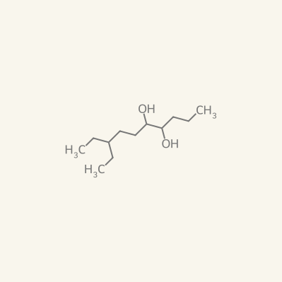 CCCC(O)C(O)CCC(CC)CC